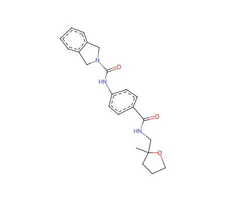 CC1(CNC(=O)c2ccc(NC(=O)N3Cc4ccccc4C3)cc2)CCCO1